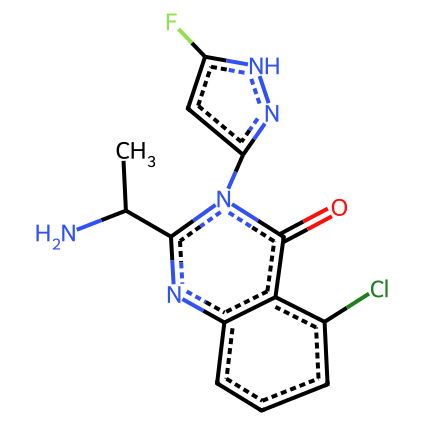 CC(N)c1nc2cccc(Cl)c2c(=O)n1-c1cc(F)[nH]n1